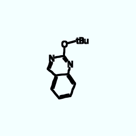 CC(C)(C)Oc1ncc2ccccc2n1